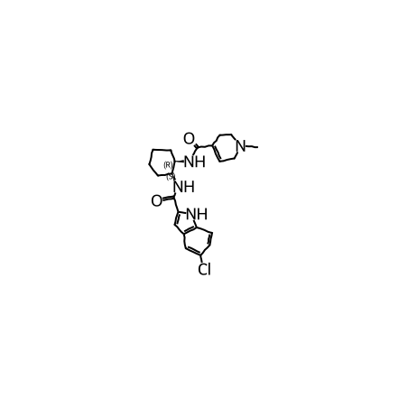 CN1CC=C(C(=O)N[C@@H]2CCCC[C@@H]2NC(=O)c2cc3cc(Cl)ccc3[nH]2)CC1